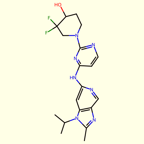 Cc1nc2cnc(Nc3ccnc(N4CCC(O)C(F)(F)C4)n3)cc2n1C(C)C